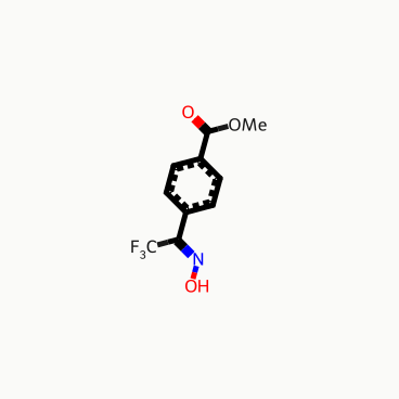 COC(=O)c1ccc(C(=NO)C(F)(F)F)cc1